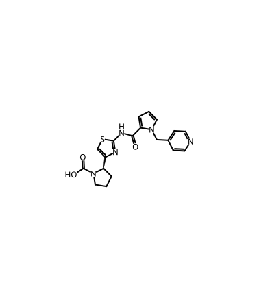 O=C(Nc1nc([C@H]2CCCN2C(=O)O)cs1)c1cccn1Cc1ccncc1